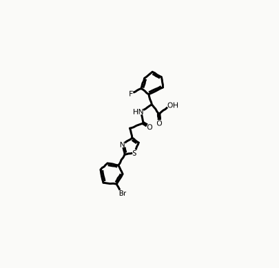 O=C(Cc1csc(-c2cccc(Br)c2)n1)NC(C(=O)O)c1ccccc1F